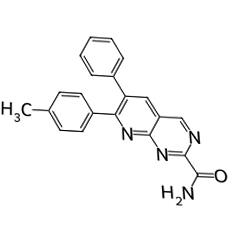 Cc1ccc(-c2nc3nc(C(N)=O)ncc3cc2-c2ccccc2)cc1